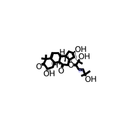 CC(C)(O)/C=C/C(=O)C(C)(O)[C@H]1[C@H](O)C[C@@]2(C)[C@@H]3CC=C4[C@@H](C[C@H](O)C(=O)C4(C)C)[C@]3(C)C(=O)C[C@]12C